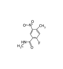 CNC(=O)c1cc([N+](=O)[O-])c(C)cc1F